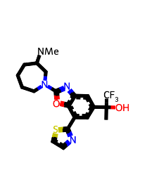 CNC1CCCCN(c2nc3cc(C(C)(O)C(F)(F)F)cc(-c4nccs4)c3o2)C1